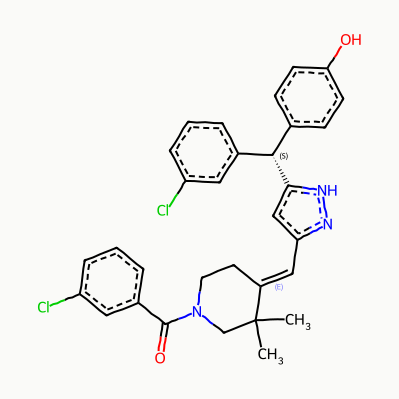 CC1(C)CN(C(=O)c2cccc(Cl)c2)CC/C1=C\c1cc([C@@H](c2ccc(O)cc2)c2cccc(Cl)c2)[nH]n1